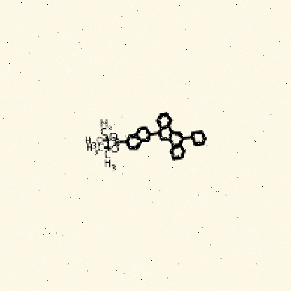 CC1(C)OB(c2ccc3cc(-c4cc5c6ccccc6c(-c6ccccc6)cc5c5ccccc45)ccc3c2)OC1(C)C